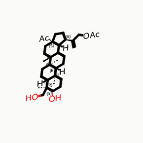 C=C(COC(C)=O)[C@@H]1CC[C@]2(C(C)=O)CC[C@]3(C)C(CC[C@@H]4[C@@]5(C)CC[C@H](O)[C@@](C)(CO)[C@@H]5CC[C@]43C)[C@@H]12